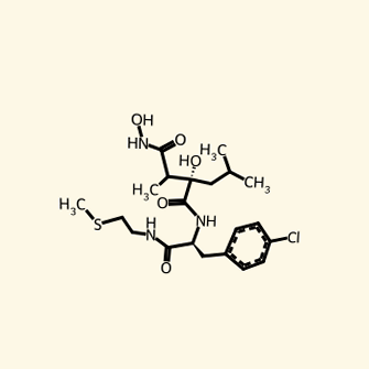 CSCCNC(=O)[C@H](Cc1ccc(Cl)cc1)NC(=O)[C@](O)(CC(C)C)C(C)C(=O)NO